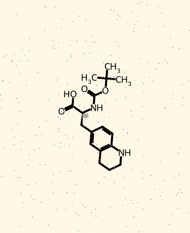 CC(C)(C)OC(=O)N[C@@H](Cc1ccc2c(c1)CCCN2)C(=O)O